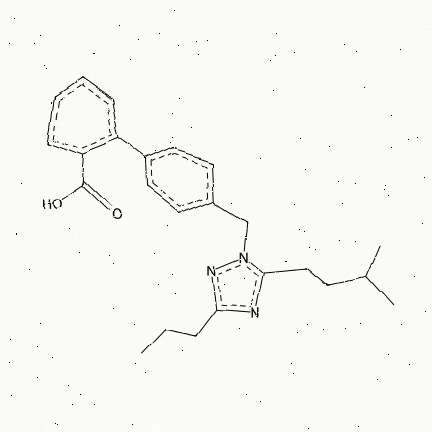 CCCc1nc(CCC(C)C)n(Cc2ccc(-c3ccccc3C(=O)O)cc2)n1